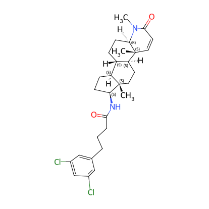 CN1C(=O)C=C[C@]2(C)[C@H]3CC[C@]4(C)[C@@H](NC(=O)CCCc5cc(Cl)cc(Cl)c5)CC[C@H]4[C@@H]3CC[C@@H]12